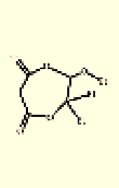 CCOC1OC(=O)CC(=O)OC1(CC)CC